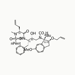 C=CCO[C@H]1Cc2ccc(OC)cc2[C@@]1(N(C[C@@H](O)[C@H](Cc1ccccc1)NC(=O)[C@H](CC=C)N(C)S(=O)(=O)CCCCC)C(=O)O)C(C)(C)C